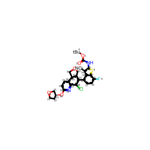 CC(C)(C)OC(=O)Nc1sc2c(F)ccc(-c3c4c(c5ccc(O[C@H]6CCOC6)nc5c3Cl)COC4)c2c1C#N